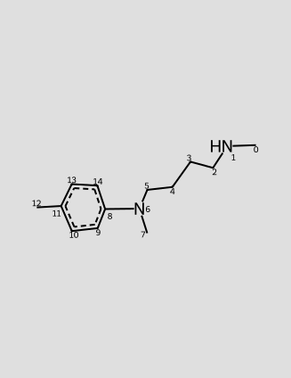 CNCCCCN(C)c1ccc(C)cc1